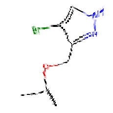 CC(C)OCc1n[nH]cc1Br